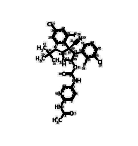 CC(=O)Nc1ccc(NC(=O)O[C@H]2N[C@@H](CC(C)(C)C)[C@](C#N)(c3ccc(Cl)cc3F)[C@H]2c2cccc(Cl)c2F)cn1